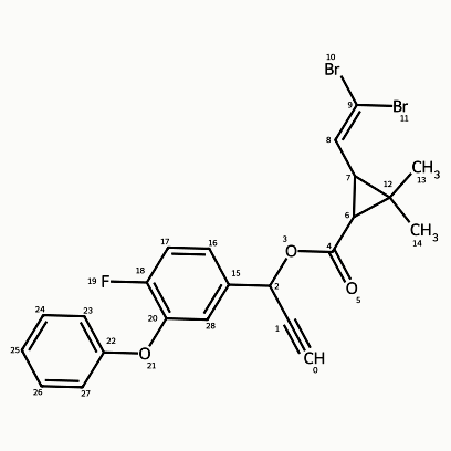 C#CC(OC(=O)C1C(C=C(Br)Br)C1(C)C)c1ccc(F)c(Oc2ccccc2)c1